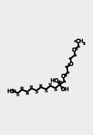 CCOCCOCCOCC(O)(O)CCCCCCCCCS